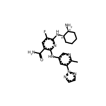 Cc1ncc(Nc2nc(N[C@@H]3CCCC[C@@H]3N)c(F)cc2C(N)=O)cc1-n1nccn1